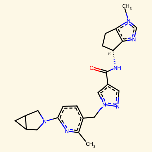 Cc1nc(N2CC3CC3C2)ccc1Cn1cc(C(=O)N[C@@H]2CCc3c2ncn3C)cn1